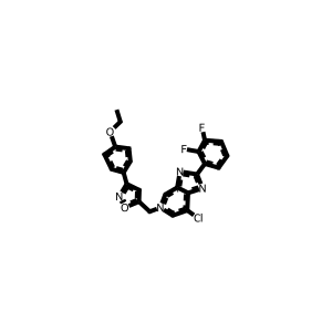 CCOc1ccc(-c2cc(Cn3cc4nc(-c5cccc(F)c5F)nc-4c(Cl)c3)on2)cc1